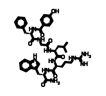 CC(C)C[C@H](NC(=O)CNC(=O)[C@H](Cc1ccccc1)NC(=O)c1ccc(O)cc1)C(=O)N[C@@H](CCCNC(=N)N)C(=O)N[C@@H](Cc1c[nH]c2ccccc12)C(N)=O